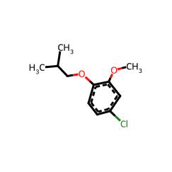 COc1cc(Cl)ccc1OCC(C)C